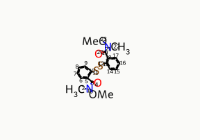 CON(C)C(=O)c1ccccc1SSc1ccccc1C(=O)N(C)OC